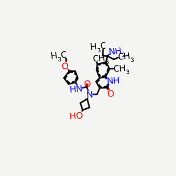 CCOc1ccc(NC(=O)N(Cc2cc3cc(C)c(C(N)(CC)CC)c(C)c3[nH]c2=O)C2CC(O)C2)cc1